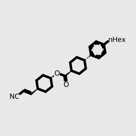 CCCCCCc1ccc([C@H]2CC[C@H](C(=O)O[C@H]3CC[C@H](C=CC#N)CC3)CC2)cc1